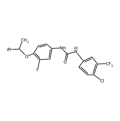 CC(C)C(C)Oc1ccc(NC(=O)Nc2ccc(Cl)c(C(F)(F)F)c2)cc1F